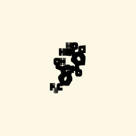 O=C(c1ccc(Cl)c(N(O)O)c1)n1cc(CO)c2cc(C(F)(F)F)ccc21